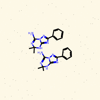 CC1(C)N=C(N)n2nc(-c3ccccc3)nc2N1.CC1(C)N=C(N)n2nc(-c3ccccc3)nc2N1